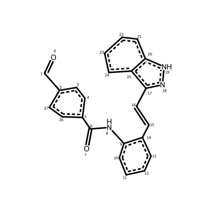 O=Cc1ccc(C(=O)Nc2ccccc2C=Cc2n[nH]c3ccccc23)cc1